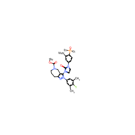 CCP(=O)(CC)c1ccc(-n2ccn(-c3c4c(nn3-c3cc(C)c(F)c(C)c3)CCCN(C(=O)OC(C)(C)C)C4)c2=O)cc1NC